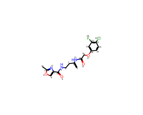 C=C(CCNC(=O)c1coc(C)n1)NC(=O)COc1ccc(Cl)c(F)c1